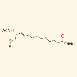 COC(=O)CCCCCCCC/C=C/[C@H](CSC(C)=O)NC(C)=O